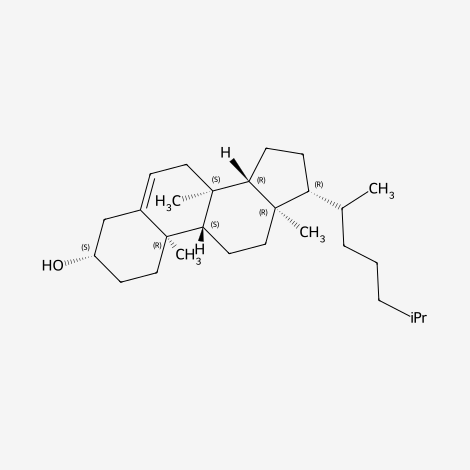 CC(C)CCCC(C)[C@H]1CC[C@@H]2[C@]1(C)CC[C@H]1[C@@]2(C)CC=C2C[C@@H](O)CC[C@@]21C